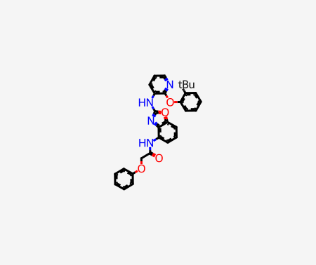 CC(C)(C)c1ccccc1Oc1ncccc1Nc1nc2c(NC(=O)COc3ccccc3)cccc2o1